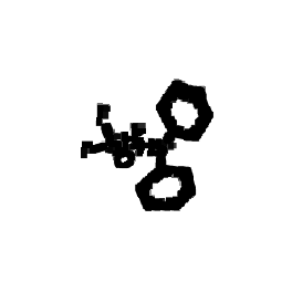 [O]=[Sb]([F])([F])[F].c1ccc([SH+]c2ccccc2)cc1